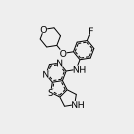 Fc1ccc(Nc2ncnc3sc4c(c23)CNC4)c(OC2CCOCC2)c1